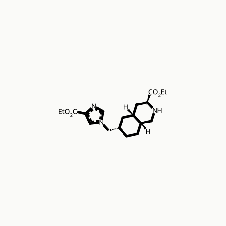 CCOC(=O)c1cn(C[C@H]2CC[C@H]3CN[C@H](C(=O)OCC)C[C@H]3C2)cn1